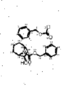 O=C(Cl)OCc1ccccc1.O=C(OCc1ccccc1)N1C2CCCC1C(O)C2